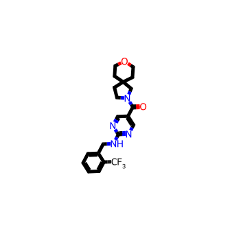 O=C(c1cnc(NCc2ccccc2C(F)(F)F)nc1)N1CCC2(CCOCC2)C1